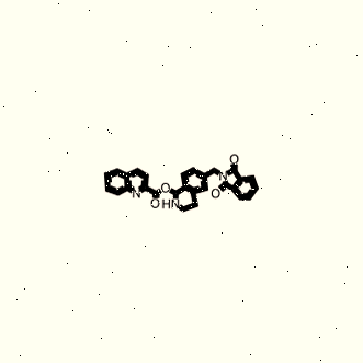 O=C(OC1NCCc2cc(CN3C(=O)c4ccccc4C3=O)ccc21)c1ccc2ccccc2n1